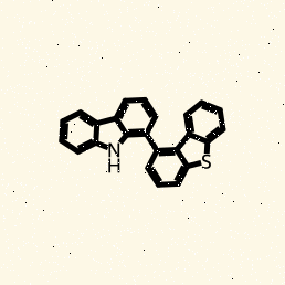 c1ccc2c(c1)[nH]c1c(-c3cccc4sc5ccccc5c34)cccc12